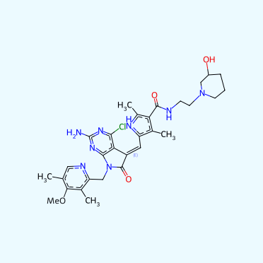 COc1c(C)cnc(CN2C(=O)/C(=C/c3[nH]c(C)c(C(=O)NCCN4CCCC(O)C4)c3C)c3c(Cl)nc(N)nc32)c1C